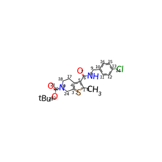 Cc1sc2c(c1C(=O)NCc1ccc(Cl)cc1)CCN(C(=O)OC(C)(C)C)C2